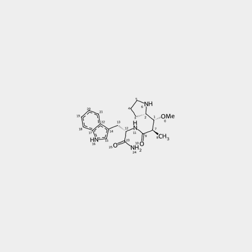 CO[C@@H]([C@@H]1CCCN1)[C@@H](C)C(=O)N[C@@H](Cc1c[nH]c2ccccc12)C(N)=O